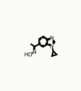 CC(=NO)c1ccc2ncn(C3CC3)c2c1